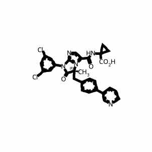 C[C@@]1(Cc2ccc(-c3cccnc3)cc2)C(=O)N(c2cc(Cl)cc(Cl)c2)c2ncc(C(=O)NC3(C(=O)O)CC3)n21